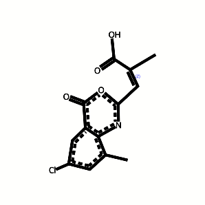 C/C(=C/c1nc2c(C)cc(Cl)cc2c(=O)o1)C(=O)O